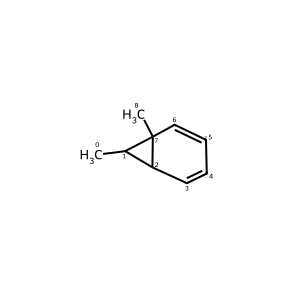 CC1C2C=C[C]=CC12C